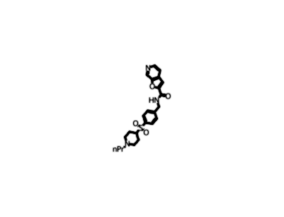 CCCN1CCC(S(=O)(=O)c2ccc(CNC(=O)c3cc4ccncc4o3)cc2)CC1